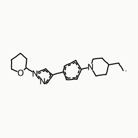 [CH2]CC1CCN(c2ccc(-c3cnn(C4CCCCO4)c3)cc2)CC1